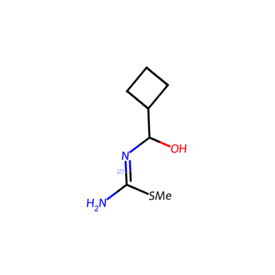 CS/C(N)=N\C(O)C1CCC1